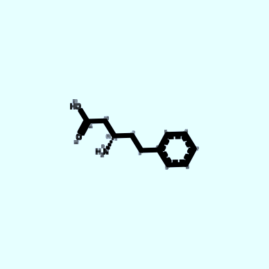 N[C@@H](CCc1ccccc1)CC(=O)O